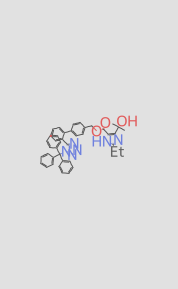 CCc1nc(C(C)(C)O)c(C(=O)OCc2ccc(-c3ccccc3-c3nnnn3C(c3ccccc3)(c3ccccc3)c3ccccc3)cc2)[nH]1